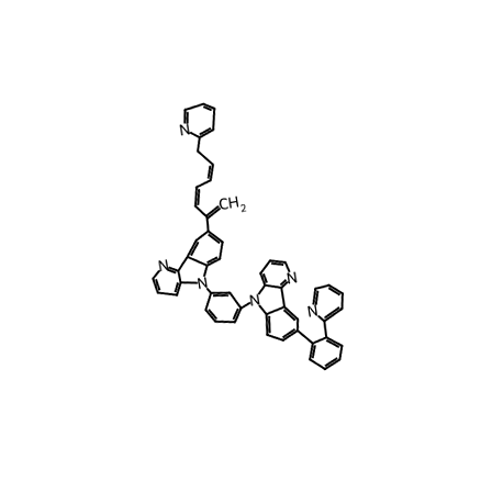 C=C(/C=C\C=C/Cc1ccccn1)c1ccc2c(c1)c1ncccc1n2-c1cccc(-n2c3ccc(-c4ccccc4-c4ccccn4)cc3c3ncccc32)c1